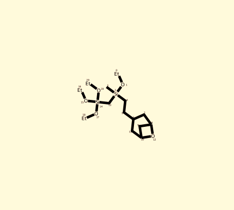 CCO[Si](C)(CCC1CC2CC(C1)O2)C[Si](OCC)(OCC)OCC